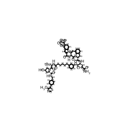 Cc1ncsc1-c1ccc(CNC(=O)[C@@H]2C[C@@H](O)CN2C(=O)[C@@H](NC(=O)CCCCCc2cccc(O[C@H](C)[C@H](CCC(N)=O)NC(=O)[C@@H]3Cc4cccc5c4N3C(=O)[C@@H](NC(=O)c3cc4cc(C(=O)P(=O)(O)O)ccc4[nH]3)CC5)c2)C(C)(C)C)cc1